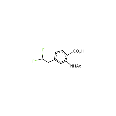 CC(=O)Nc1cc(CC(F)F)ccc1C(=O)O